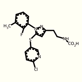 Cc1cccc(-n2nc(CCNC(=O)O)cc2Sc2ccc(Cl)nc2)c1F